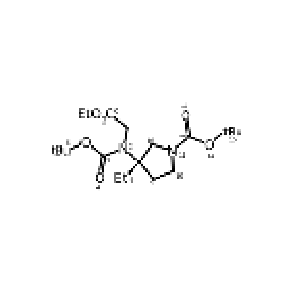 CCOC(=O)CN(C(=O)OC(C)(C)C)[C@@]1(CC)CCN(C(=O)OC(C)(C)C)C1